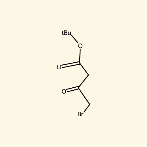 CC(C)(C)OC(=O)CC(=O)CBr